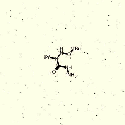 CC(C)N(NOC(C)(C)C)C(=O)NN